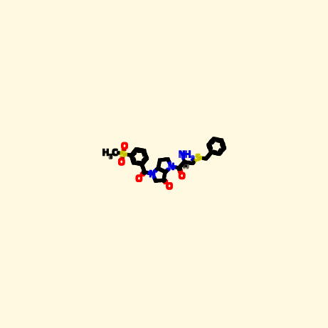 CS(=O)(=O)c1cccc(C(=O)N2CC(=O)C3C2CCN3C(=O)[C@@H](N)CSCc2ccccc2)c1